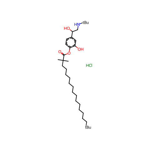 CC(C)(C)CCCCCCCCCCCCCCC(C)(C)C(=O)Oc1ccc(C(O)CNC(C)(C)C)cc1O.Cl